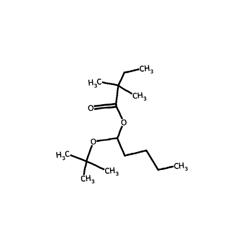 CCCCC(OC(=O)C(C)(C)CC)OC(C)(C)C